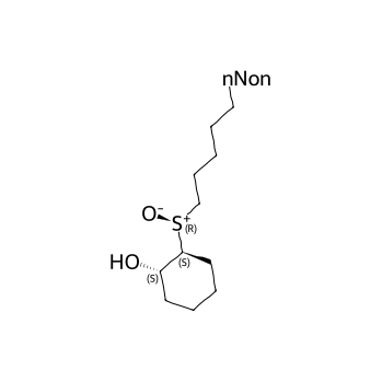 CCCCCCCCCCCCCC[S@+]([O-])[C@H]1CCCC[C@@H]1O